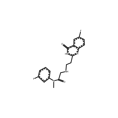 CN(C(=O)CNCCc1nc2ccc(F)cc2c(=O)[nH]1)c1cccc(F)c1